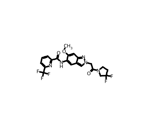 COc1cc2nn(CC(=O)N3CCC(F)(F)C3)cc2cc1NC(=O)c1cccc(C(F)(F)F)n1